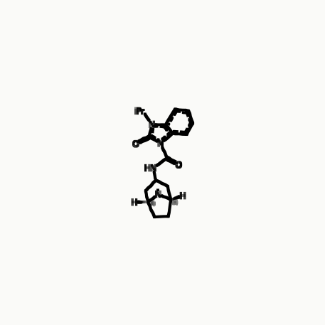 CC(C)n1c(=O)n(C(=O)NC2C[C@H]3CC[C@@H](C2)N3C)c2ccccc21